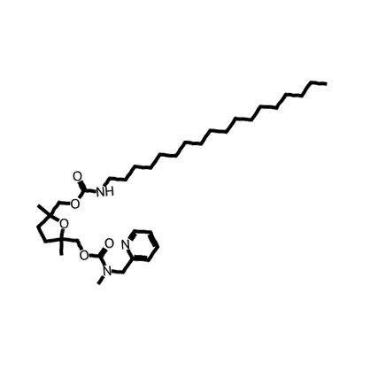 CCCCCCCCCCCCCCCCCCNC(=O)OCC1(C)CCC(C)(COC(=O)N(C)Cc2ccccn2)O1